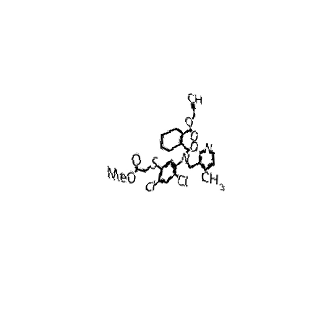 C#CCOC(=O)C1=C(C(=O)N(Cc2cnccc2C)c2cc(SCC(=O)OC)c(Cl)cc2Cl)CCCC1